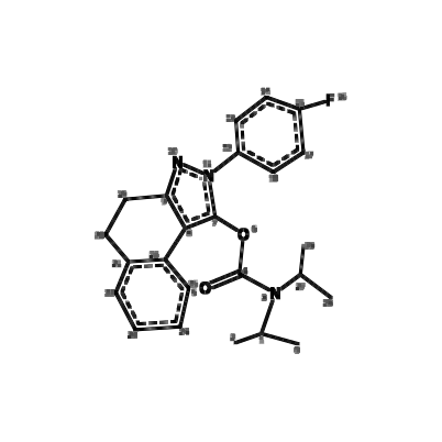 CC(C)N(C(=O)Oc1c2c(nn1-c1ccc(F)cc1)CCc1ccccc1-2)C(C)C